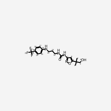 CC(C)(CO)c1cc(NC(=O)NCCCNc2ccc(C(F)(F)F)cc2)no1